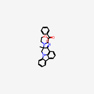 CC1(N2CCOCC2)Cn2c3ccccc3c3cccc(c32)/C1=N/OC(=O)c1ccccc1